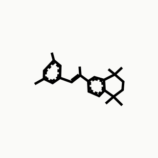 CC(=Cc1cc(C)cc(C)c1)c1ccc2c(c1)C(C)(C)CCC2(C)C